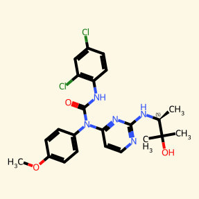 COc1ccc(N(C(=O)Nc2ccc(Cl)cc2Cl)c2ccnc(N[C@@H](C)C(C)(C)O)n2)cc1